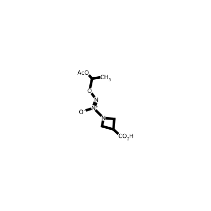 CC(=O)OC(C)O/N=[N+](\[O-])N1CC(C(=O)O)C1